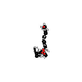 CCc1cccc2cc(OCOC)cc(-c3ncc4c(N5CC6CCC(C5)N6C(=O)OC(C)(C)C)nc(OCC5(CN6CC7(CCC(F)(CN8CCN(c9ccc%10c(c9)CN([C@H]9CCC(=O)NC9=O)C%10=O)CC8)CC7)C6)CC5)nc4c3F)c12